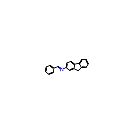 C(=N\c1ccc2c(c1)Cc1ccccc1-2)/c1ccccc1